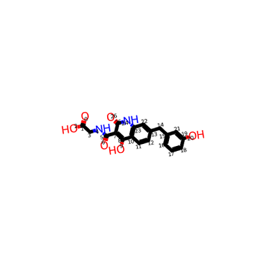 O=C(O)CNC(=O)c1c(O)c2ccc(Cc3cccc(O)c3)cc2[nH]c1=O